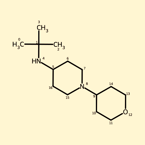 CC(C)(C)NC1CCN(C2CCOCC2)CC1